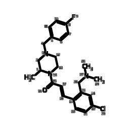 CC1CN(Cc2ccc(F)cc2)CCN1C(=O)/C=C/c1ccc(Cl)cc1CN(C)C